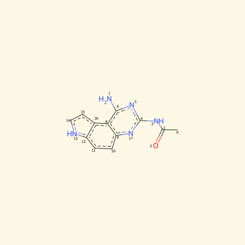 CC(=O)Nc1nc(N)c2c(ccc3[nH]ccc32)n1